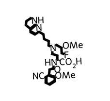 COc1cccc(C#N)c1CC(=O)N[C@@H](CCN(CCCCc1ccc2c(n1)NCCC2)C[C@@H](CF)OC)C(=O)O